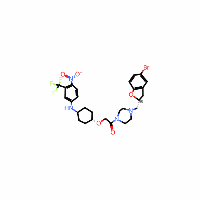 O=C(CO[C@H]1CC[C@H](Nc2ccc([N+](=O)[O-])c(C(F)(F)F)c2)CC1)N1CCN(C[C@H]2Cc3cc(Br)ccc3O2)CC1